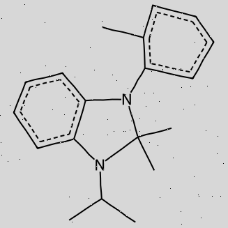 Cc1ccccc1N1c2ccccc2N(C(C)C)C1(C)C